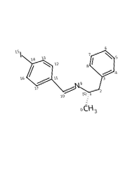 C[C@@H](Cc1ccccc1)N=Cc1ccc(I)cc1